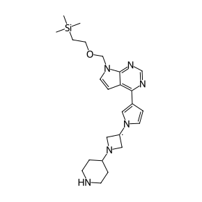 C[Si](C)(C)CCOCn1ccc2c(-c3ccn([C]4CN(C5CCNCC5)C4)c3)ncnc21